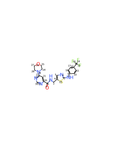 O=C(NCc1cnc(Nc2ccc(C(F)(F)F)cc2)s1)c1cc(N2CCOCC2)ncn1